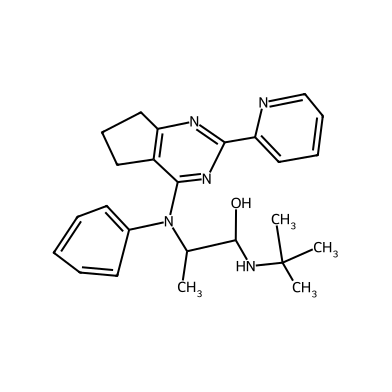 CC(C(O)NC(C)(C)C)N(c1ccccc1)c1nc(-c2ccccn2)nc2c1CCC2